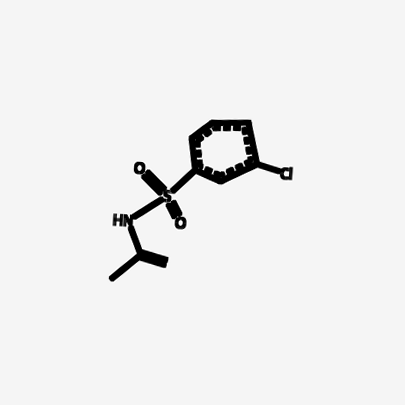 C=C(C)NS(=O)(=O)c1cccc(Cl)c1